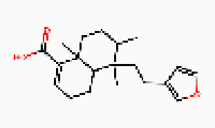 CC1CCC2(C)C(C(=O)O)=CCCC2C1(C)CCc1ccoc1